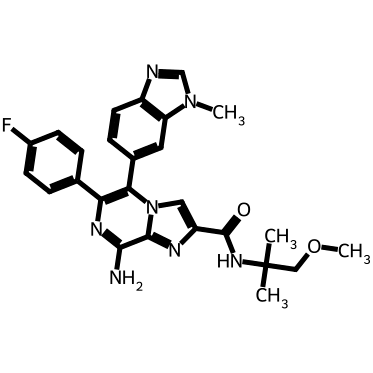 COCC(C)(C)NC(=O)c1cn2c(-c3ccc4ncn(C)c4c3)c(-c3ccc(F)cc3)nc(N)c2n1